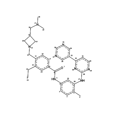 Cc1ccc(NC(=O)c2ccc(CN3CC(CN(C)C)C3)c(CF)c2)cc1Nc1nccc(-c2cncnc2)n1